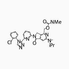 CNC(=O)OCc1nc(N(C)C(C)C)cc2c1CN(c1cccc(-c3nncn3-c3ccccc3Cl)n1)C2=O